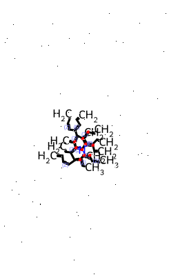 C=CC=C(/C=C\C=C)/C(C=C)=C(/C=C(C(=C)C(/C=C\C=C)=C/C=C)/C(/C=C\C=C)=C/C=C)N(C(/C=C\C=C)=C/C=C)C(/C=C\C)=C/C=C\C